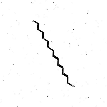 CC/C=C/C=C/C=C/C/C=C/C=C/C=C/CC#N